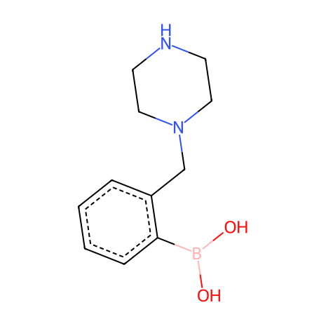 OB(O)c1ccccc1CN1CCNCC1